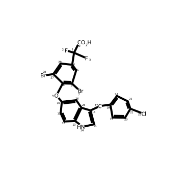 O=C(O)C(F)(F)c1cc(Br)c(Oc2ccc3[nH]cc(Cc4ccc(Cl)cc4)c3c2)c(Br)c1